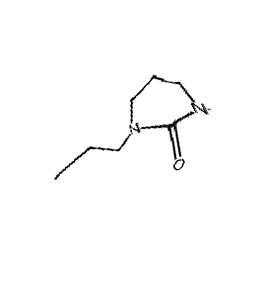 CCCN1CCC[N]C1=O